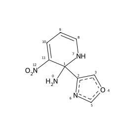 NC1(c2cocn2)NC=CC=C1[N+](=O)[O-]